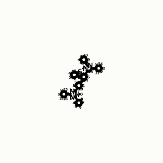 CN1C(c2ccccc2)=NC(c2ccccc2)=NC1c1ccc(-c2ccc(-c3cc(-c4ccccc4)nc(-c4ccccc4)n3)c3sc4ccccc4c23)cc1